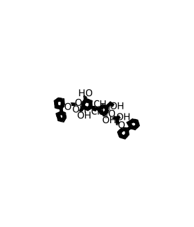 CC(C)(c1cc(O)c(OCC(O)COc2ccccc2-c2ccccc2)c(CO)c1)c1cc(CO)c(OC(O)COc2ccccc2-c2ccccc2)c(CO)c1